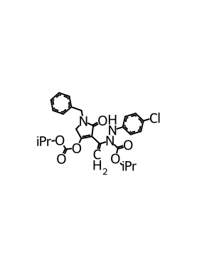 C=C(C1=C(OC(=O)OC(C)C)CN(Cc2ccccc2)C1=O)N(Nc1ccc(Cl)cc1)C(=O)OC(C)C